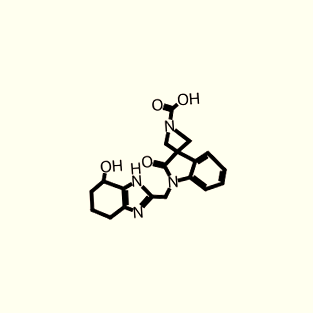 O=C(O)N1CC2(C1)C(=O)N(Cc1nc3c([nH]1)C(O)CCC3)c1ccccc12